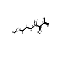 C=C(C)C(=O)NCCCOC